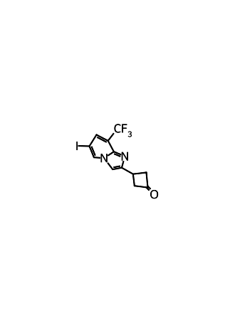 O=C1CC(c2cn3cc(I)cc(C(F)(F)F)c3n2)C1